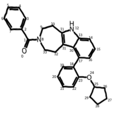 O=C(c1ccccc1)N1CCc2[nH]c3cccc(-c4ccccc4OC4CCCC4)c3c2CC1